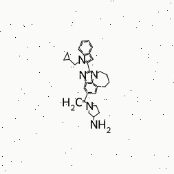 C=C(c1cc2c3c(c1)nc(-c1cc4ccccc4n1CC1CC1)n3CCCC2)N1CCC(N)C1